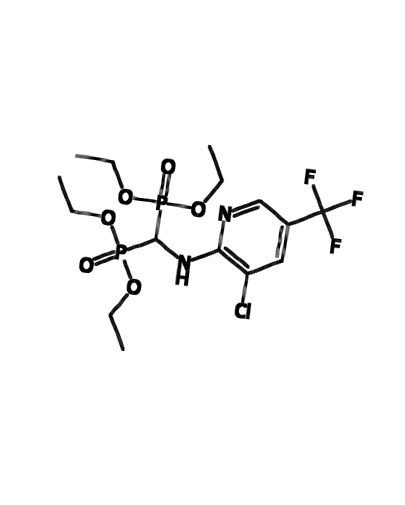 CCOP(=O)(OCC)C(Nc1ncc(C(F)(F)F)cc1Cl)P(=O)(OCC)OCC